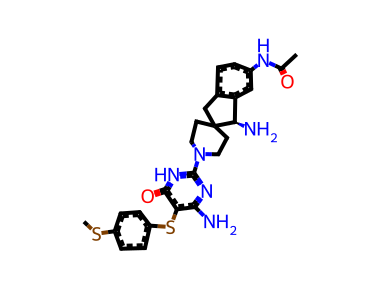 CSc1ccc(Sc2c(N)nc(N3CCC4(CC3)Cc3ccc(NC(C)=O)cc3[C@H]4N)[nH]c2=O)cc1